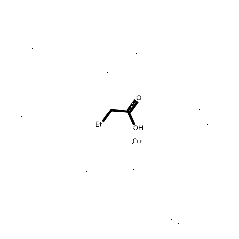 CCCC(=O)O.[Cu]